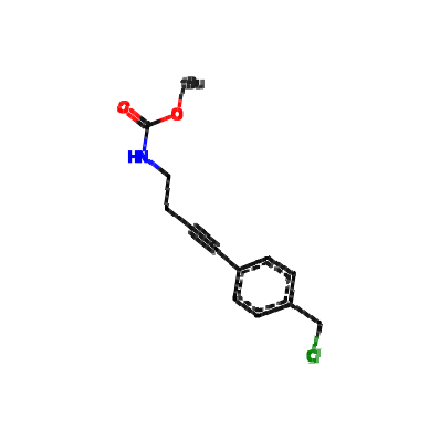 CC(C)(C)OC(=O)NCCC#Cc1ccc(CCl)cc1